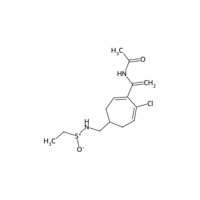 C=C(NC(C)=O)C1=CCC(CN[S+]([O-])CC)CC=C1Cl